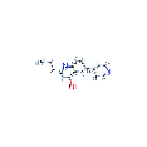 CC(C)CCc1cc(O)c2cc(-c3ccncc3)ccc2n1